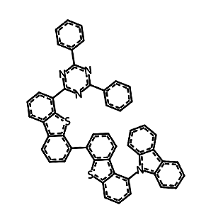 c1ccc(-c2nc(-c3ccccc3)nc(-c3cccc4c3sc3c(-c5cccc6c5sc5cccc(-n7c8ccccc8c8ccccc87)c56)cccc34)n2)cc1